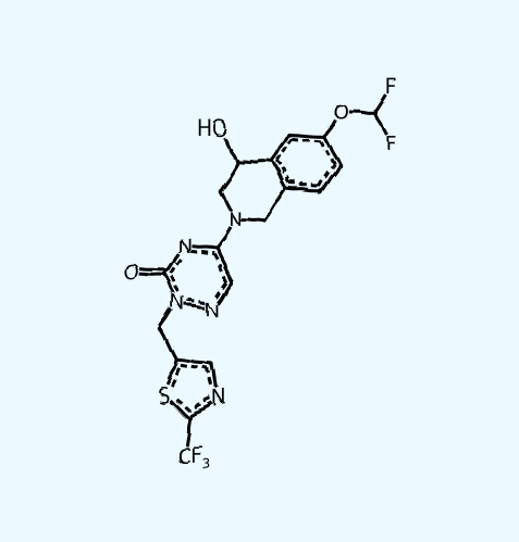 O=c1nc(N2Cc3ccc(OC(F)F)cc3C(O)C2)cnn1Cc1cnc(C(F)(F)F)s1